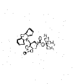 CC(C)(C)OC(=O)N1CC2OS(=O)OC2C(N2c3ccccc3Oc3ccccc32)C1